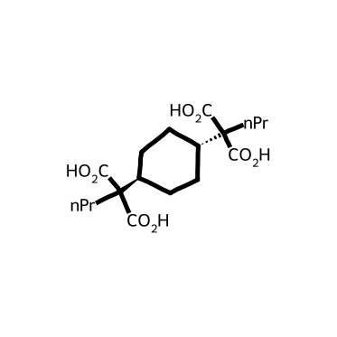 CCCC(C(=O)O)(C(=O)O)[C@H]1CC[C@H](C(CCC)(C(=O)O)C(=O)O)CC1